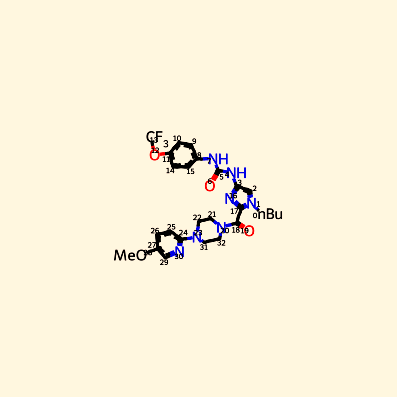 CCCCn1cc(NC(=O)Nc2ccc(OC(F)(F)F)cc2)nc1C(=O)N1CCN(c2ccc(OC)cn2)CC1